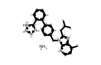 Cc1ccnc2c1nc(CC(C)C)n2Cc1ccc(-c2ccccc2-c2nnn[nH]2)cc1.N